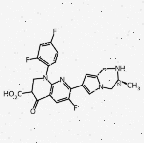 C[C@H]1Cn2cc(-c3nc4c(cc3F)C(=O)C(C(=O)O)CN4c3ccc(F)cc3F)cc2CN1